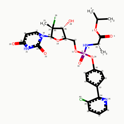 CC(C)OC(=O)[C@H](C)NP(=O)(OC[C@H]1O[C@@H](n2ccc(=O)[nH]c2=O)[C@](C)(F)[C@@H]1O)Oc1ccc(-c2ncccc2Cl)cc1